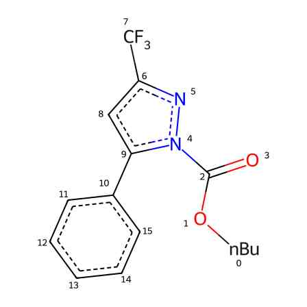 CCCCOC(=O)n1nc(C(F)(F)F)cc1-c1ccccc1